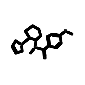 COc1ccc(C(=O)N(C)C2CCCCC2N2CC=CC2)cc1